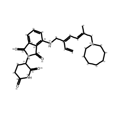 C=C/C(=C\C=C(/C)CN1CCCCCCC1)CNc1cccc2c1C(=O)N(C1CCC(=O)NC1=O)C2=O